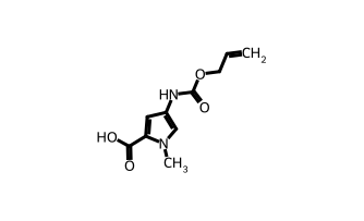 C=CCOC(=O)Nc1cc(C(=O)O)n(C)c1